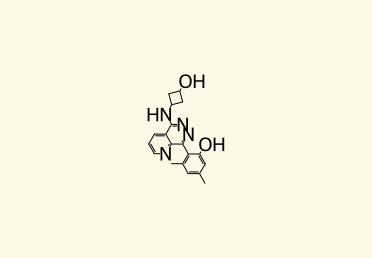 Cc1cc(C)c(-c2nnc(NC3CC(O)C3)c3cccnc23)c(O)c1